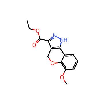 CCOC(=O)c1n[nH]c2c1COc1c(OC)cccc1-2